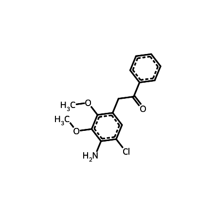 COc1c(CC(=O)c2ccccc2)cc(Cl)c(N)c1OC